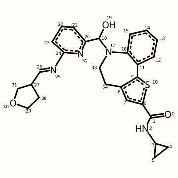 O=C(NC1CC1)c1cc2c(s1)-c1ccccc1N(C(O)c1cccc(N=CC3CCOC3)n1)CC2